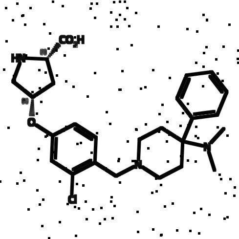 CN(C)C1(c2ccccc2)CCN(Cc2ccc(O[C@@H]3CN[C@H](C(=O)O)C3)cc2Cl)CC1